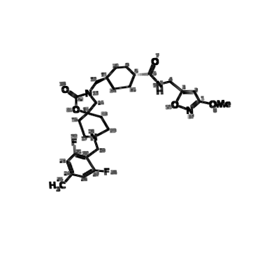 COc1cc(CNC(=O)[C@H]2CC[C@H](CN3CC4(CCN(Cc5c(F)cc(C)cc5F)CC4)OC3=O)CC2)on1